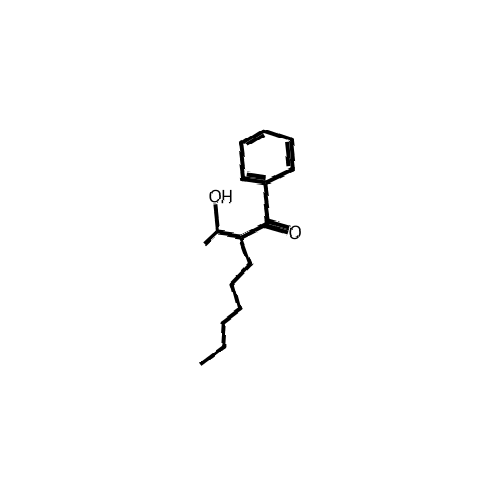 CCCCCCC(C(=O)c1ccccc1)C(C)O